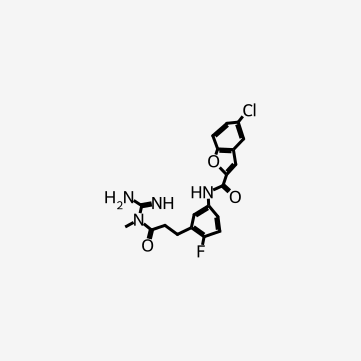 CN(C(=N)N)C(=O)CCc1cc(NC(=O)c2cc3cc(Cl)ccc3o2)ccc1F